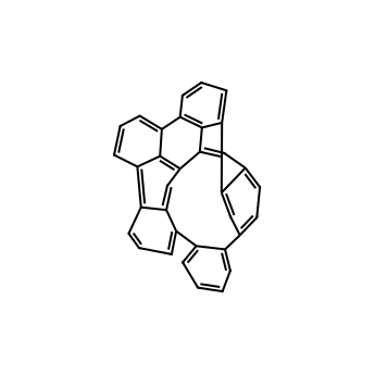 c1ccc2c(c1)c1ccc3cc4c5cc6c2cccc6c2cccc(c6cccc(c3c1)c64)c25